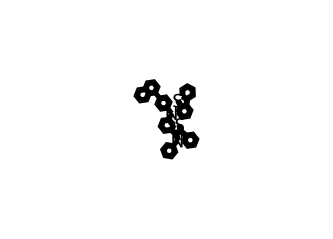 c1ccc(-n2c3ccccc3c3sc4c(N(c5ccc(-c6cccc7ccccc67)cc5)c5cccc6c5sc5ccccc56)cccc4c32)cc1